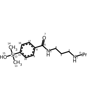 CC(C)NCCCNC(=O)c1ccc([Si](C)(C)O)cc1